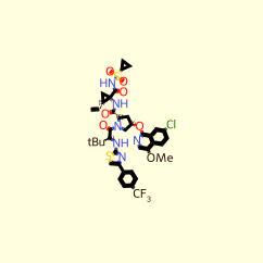 C=C[C@@H]1C[C@]1(NC(=O)[C@@H]1C[C@@H](Oc2ncc(OC)c3ccc(Cl)cc23)CN1C(=O)[C@@H](Nc1nc(-c2ccc(C(F)(F)F)cc2)cs1)C(C)(C)C)C(=O)NS(=O)(=O)C1CC1